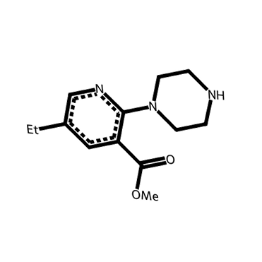 CCc1cnc(N2CCNCC2)c(C(=O)OC)c1